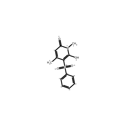 Cc1cc(=O)n(C)c(O)c1S(=O)(=O)c1ccccc1